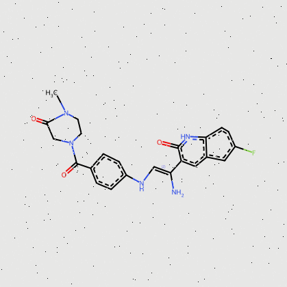 CN1CCN(C(=O)c2ccc(N/C=C(\N)c3cc4cc(F)ccc4[nH]c3=O)cc2)CC1=O